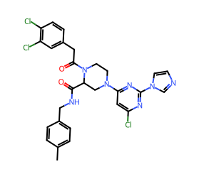 Cc1ccc(CNC(=O)C2CN(c3cc(Cl)nc(-n4ccnc4)n3)CCN2C(=O)Cc2ccc(Cl)c(Cl)c2)cc1